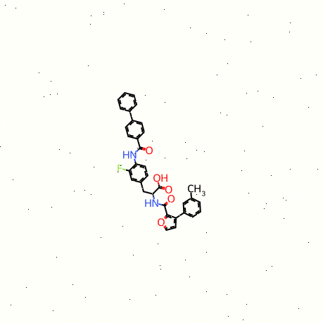 Cc1cccc(-c2ccoc2C(=O)NC(Cc2ccc(NC(=O)c3ccc(-c4ccccc4)cc3)c(F)c2)C(=O)O)c1